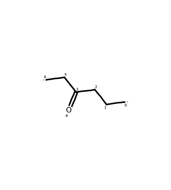 [CH2]CCC(=O)C[CH2]